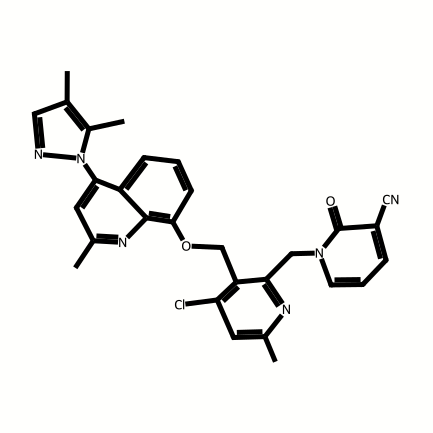 Cc1cc(Cl)c(COc2cccc3c(-n4ncc(C)c4C)cc(C)nc23)c(Cn2cccc(C#N)c2=O)n1